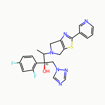 CC(N1Cc2nc(-c3cccnc3)sc2C1)[C@](O)(Cn1cncn1)c1ccc(F)cc1F